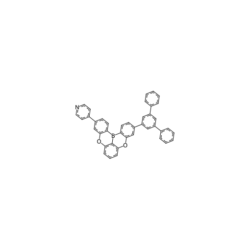 c1ccc(-c2cc(-c3ccccc3)cc(-c3ccc4c(c3)Oc3cccc5c3B4c3ccc(-c4ccncc4)cc3O5)c2)cc1